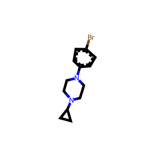 Brc1ccc(N2CCN(C3CC3)CC2)cc1